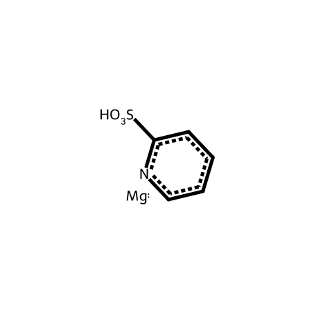 O=S(=O)(O)c1ccccn1.[Mg]